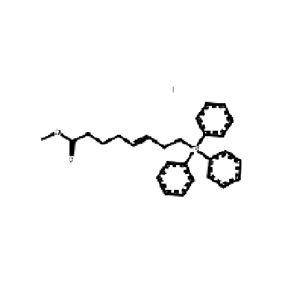 COC(=O)CCCC=CCC[P+](c1ccccc1)(c1ccccc1)c1ccccc1.[I-]